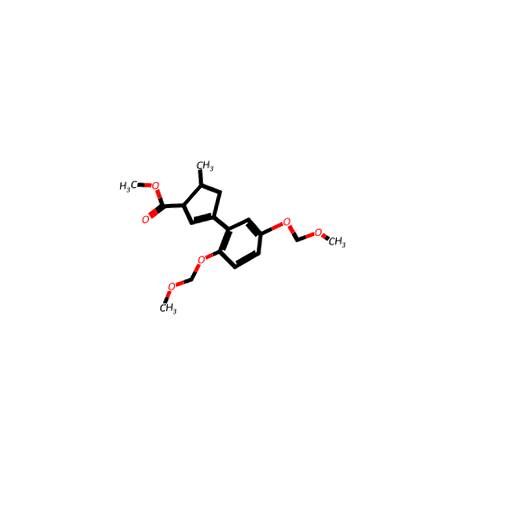 COCOc1ccc(OCOC)c(C2=CC(C(=O)OC)C(C)C2)c1